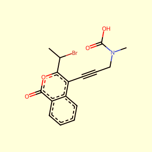 CC(Br)c1oc(=O)c2ccccc2c1C#CCN(C)C(=O)O